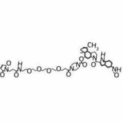 Cc1csc2c(OC(=O)N3CCN(C(=O)CCOCCOCCOCCOCCNC(=O)CCN4C(=O)C=CC4=O)CC3)cc3c(c12)CCN3C(=O)c1cc2cc(NC=O)ccc2[nH]1